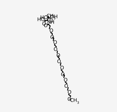 COCCOCCOCCOCCOCCOCCOCCOCCOCCOCCOCCOCCC(=O)NC(C(=O)O)C(C)(O)C(=O)O